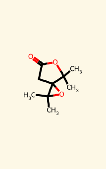 CC1(C)OC(=O)CC12OC2(C)C